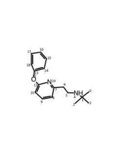 CC(C)(C)NCCc1cccc(Oc2ccccc2)n1